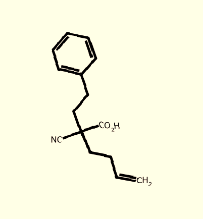 C=CCCC(C#N)(CCc1ccccc1)C(=O)O